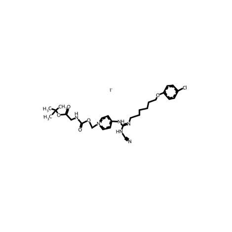 CC(C)(C)OC(=O)CNC(=O)OC[n+]1ccc(N/C(=N\CCCCCCOc2ccc(Cl)cc2)NC#N)cc1.[I-]